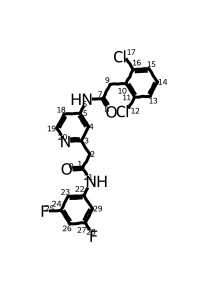 O=C(Cc1cc(NC(=O)Cc2c(Cl)cccc2Cl)ccn1)Nc1cc(F)cc(F)c1